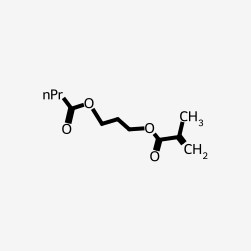 C=C(C)C(=O)OCCCOC(=O)CCC